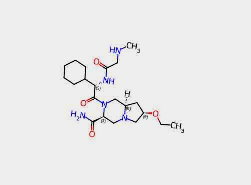 CCO[C@@H]1C[C@@H]2CN(C(=O)[C@@H](NC(=O)CNC)C3CCCCC3)[C@H](C(N)=O)CN2C1